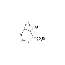 CCOC(=O)C1CCCCC1.O=C(O)O